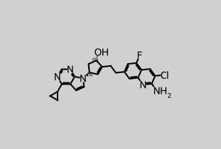 Nc1nc2cc(CCC3=C[C@@H](n4ccc5c(C6CC6)ncnc54)C[C@@H]3O)cc(F)c2cc1Cl